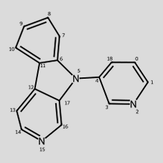 c1cncc(-n2c3ccccc3c3ccncc32)c1